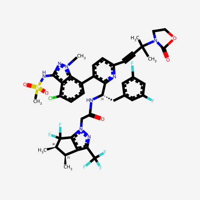 C[C@@H]1c2c(C(F)(F)F)nn(CC(=O)N[C@@H](Cc3cc(F)cc(F)c3)c3nc(C#CC(C)(C)N4CCOC4=O)ccc3-c3ccc(Cl)c4c(NS(C)(=O)=O)nn(C)c34)c2C(F)(F)[C@@H]1C